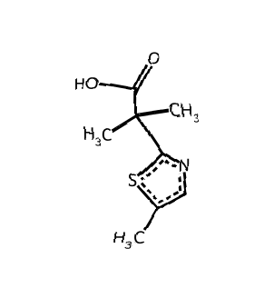 Cc1cnc(C(C)(C)C(=O)O)s1